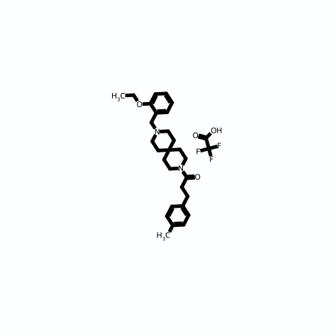 CCOc1ccccc1CN1CCC2(CC1)CCN(C(=O)CCc1ccc(C)cc1)CC2.O=C(O)C(F)(F)F